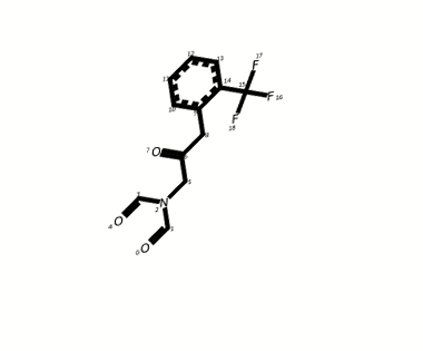 O=CN(C=O)CC(=O)Cc1ccccc1C(F)(F)F